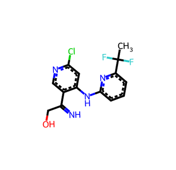 CC(F)(F)c1cccc(Nc2cc(Cl)ncc2C(=N)CO)n1